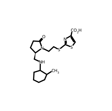 CC1CCCCC1NC[C@H]1CCC(=O)N1CCSc1nc(C(=O)O)cs1